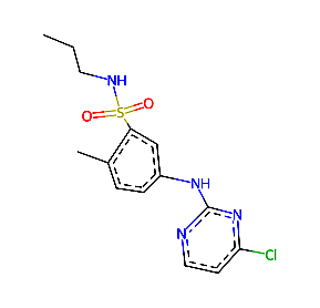 CCCNS(=O)(=O)c1cc(Nc2nccc(Cl)n2)ccc1C